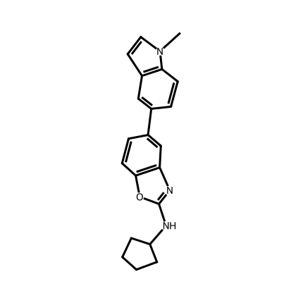 Cn1ccc2cc(-c3ccc4oc(NC5CCCC5)nc4c3)ccc21